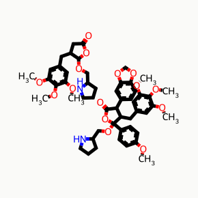 COc1cc(CC2CC(=O)OC2OCC2CCCN2)cc(OC)c1OC.COc1ccc(C2(OCC3CCCN3)OC(=O)C(c3ccc4c(c3)OCO4)C2Cc2cc(OC)c(OC)c(OC)c2)cc1